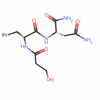 CC(C)C[C@H](NC(=O)CCO)C(=O)N[C@@H](CC(N)=O)C(N)=O